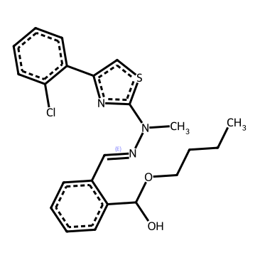 CCCCOC(O)c1ccccc1/C=N/N(C)c1nc(-c2ccccc2Cl)cs1